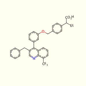 CCC(C(=O)O)c1ccc(COc2cccc(-c3c(Cc4ccccc4)cnc4c(C(F)(F)F)cccc34)c2)cc1